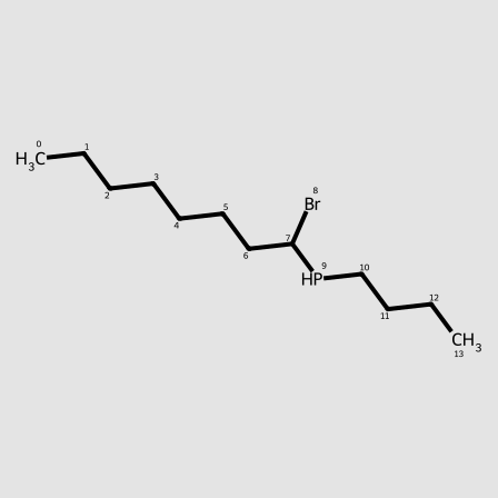 CCCCCCCC(Br)PCCCC